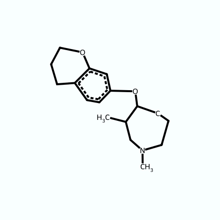 CC1CN(C)CCCC1Oc1ccc2c(c1)OCCC2